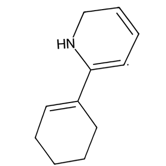 [C]1=C(C2=CCCCC2)NCC=C1